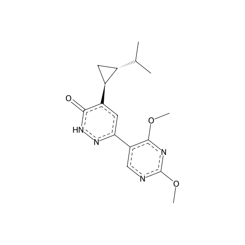 COc1ncc(-c2cc([C@H]3C[C@@H]3C(C)C)c(=O)[nH]n2)c(OC)n1